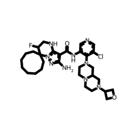 Nc1nn2c(c1C(=O)Nc1cncc(Cl)c1N1CCN3CCN(C4COC4)CC3C1)NCC(F)C21CCCCCCCC1